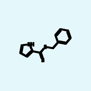 S=C(SCc1ccccc1)c1ccc[nH]1